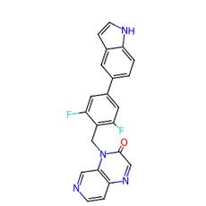 O=c1cnc2ccncc2n1Cc1c(F)cc(-c2ccc3[nH]ccc3c2)cc1F